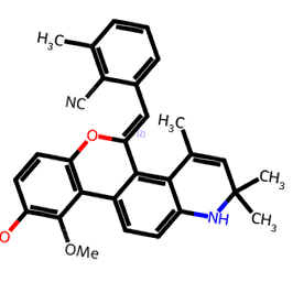 COc1c(O)ccc2c1-c1ccc3c(c1/C(=C/c1cccc(C)c1C#N)O2)C(C)=CC(C)(C)N3